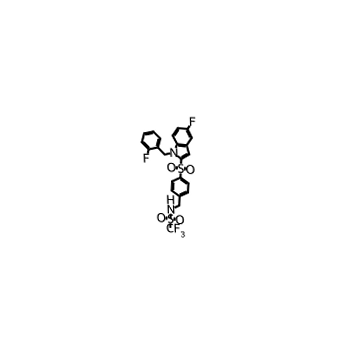 O=S(=O)(c1ccc(CNS(=O)(=O)C(F)(F)F)cc1)c1cc2cc(F)ccc2n1Cc1ccccc1F